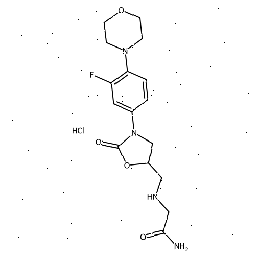 Cl.NC(=O)CNCC1CN(c2ccc(N3CCOCC3)c(F)c2)C(=O)O1